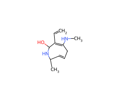 C=C/C1=C(\NC)C/C=C/C(C)NC1O